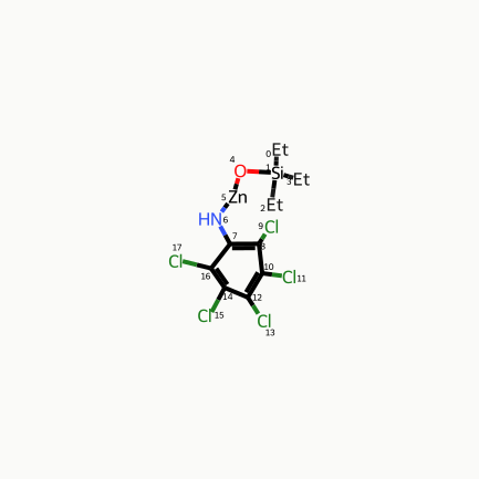 CC[Si](CC)(CC)[O][Zn][NH]c1c(Cl)c(Cl)c(Cl)c(Cl)c1Cl